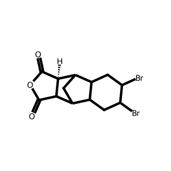 O=C1OC(=O)[C@H]2C3CC(C4CC(Br)C(Br)CC43)C12